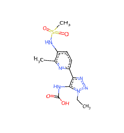 CCn1nnc(-c2ccc(NS(C)(=O)=O)c(C)n2)c1NC(=O)O